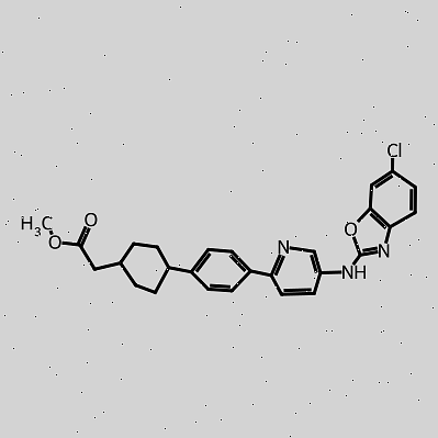 COC(=O)CC1CCC(c2ccc(-c3ccc(Nc4nc5ccc(Cl)cc5o4)cn3)cc2)CC1